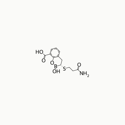 NC(=O)CCS[C@H]1Cc2cccc(C(=O)O)c2OB1O